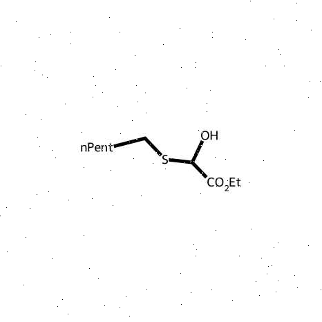 CCCCCCSC(O)C(=O)OCC